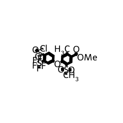 COC(=O)c1cc(S(C)(=O)=O)c(Oc2ccc(S(=O)(=O)Cl)c(S(F)(F)(F)(F)F)c2)cc1C